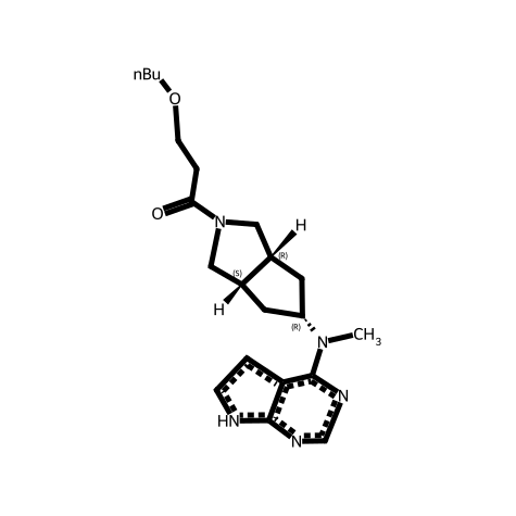 CCCCOCCC(=O)N1C[C@H]2C[C@@H](N(C)c3ncnc4[nH]ccc34)C[C@H]2C1